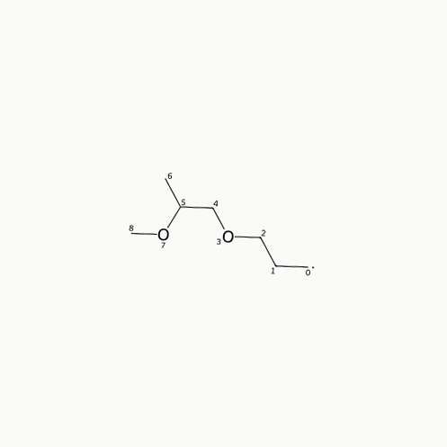 [CH2]CCOCC(C)OC